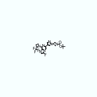 CC(C)(C)OC(=O)N1CC(n2cc(-c3cn4c(F)cnc4c(N4CC[C@@H]4C(F)(F)F)n3)cn2)C1